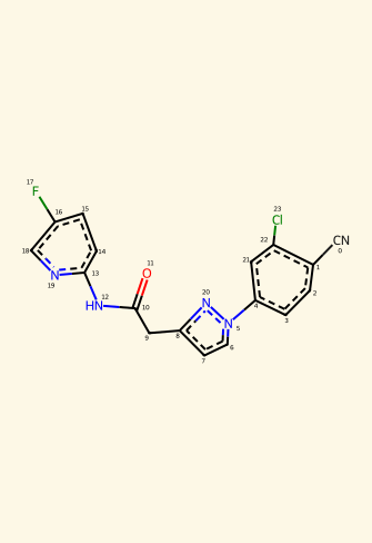 N#Cc1ccc(-n2ccc(CC(=O)Nc3ccc(F)cn3)n2)cc1Cl